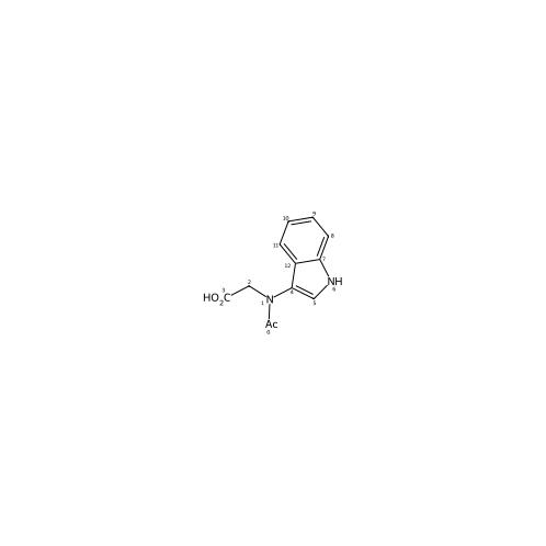 CC(=O)N(CC(=O)O)c1c[nH]c2ccccc12